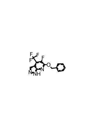 Fc1c(OCc2ccccc2)nc2[nH]ncc2c1C(F)(F)F